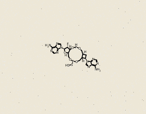 Nc1ncnc2c1ncn2[C@@H]1C[C@@H]2COPO[C@H]3[C@@H](F)[C@H](n4cnc5c(N)ncnc54)O[C@@H]3COP(SS)OC[C@H]21